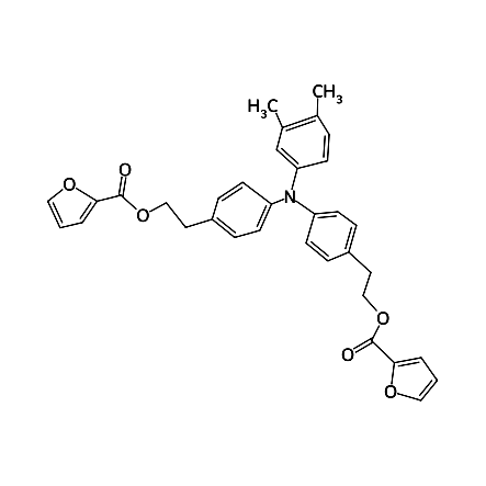 Cc1ccc(N(c2ccc(CCOC(=O)c3ccco3)cc2)c2ccc(CCOC(=O)c3ccco3)cc2)cc1C